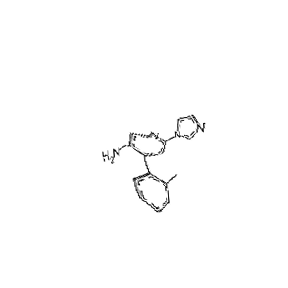 Cc1ccccc1-c1cc(-n2ccnc2)ncc1N